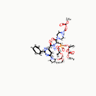 CCCCOC(=O)ON1CCN(C(=O)C(CP(=O)(OC(C)OC(=O)OC(C)C)O[C@H](C)OC(=O)OC(C)C)NC(=O)c2cc(N3CC[C@H](OC)C3)nc(-c3ccccc3)n2)CC1